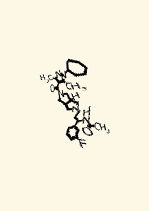 CC(=O)NC(CCN1CC2CN(C(=O)c3c(C)nn(C4CCCCC4)c3C)C[C@@H]2C1)c1cccc(F)c1